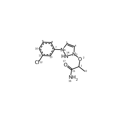 CC(ON1C=CN(c2cccc(Cl)c2)N1)C(N)=O